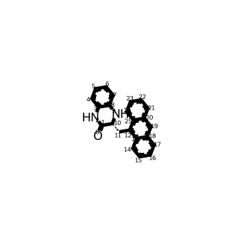 O=C1Nc2ccccc2N[C@@H]1Cc1c2ccccc2cc2ccccc12